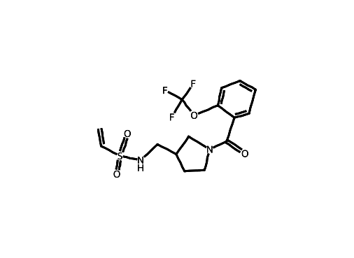 C=CS(=O)(=O)NCC1CCN(C(=O)c2ccccc2OC(F)(F)F)C1